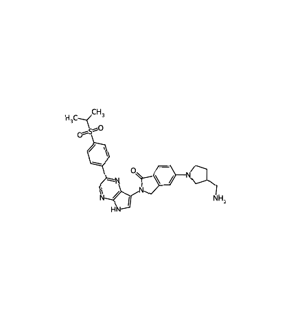 CC(C)S(=O)(=O)c1ccc(-c2cnc3[nH]cc(N4Cc5cc(N6CCC(CN)C6)ccc5C4=O)c3n2)cc1